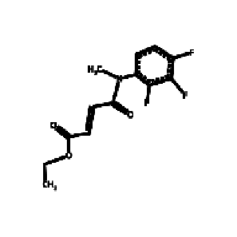 CCOC(=O)/C=C/C(=O)N(C)c1ccc(F)c(F)c1F